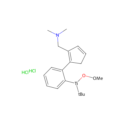 CO[O][Ti]([c]1ccccc1C1=C(CN(C)C)C=CC1)[C](C)(C)C.Cl.Cl